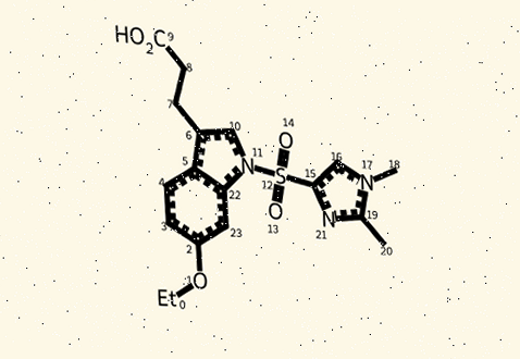 CCOc1ccc2c(CCC(=O)O)cn(S(=O)(=O)c3cn(C)c(C)n3)c2c1